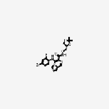 CC1(C)OC[C@H](CONC(=O)c2ncc3cncn3c2Nc2ccc(Br)cc2F)O1